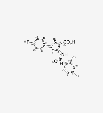 Cc1ccc([PH](=O)Nc2cc(-c3ccc(F)cc3)sc2C(=O)O)c(C)c1